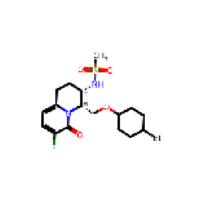 CCC1CCC(OC[C@H]2[C@@H](NS(C)(=O)=O)CCc3ccc(F)c(=O)n32)CC1